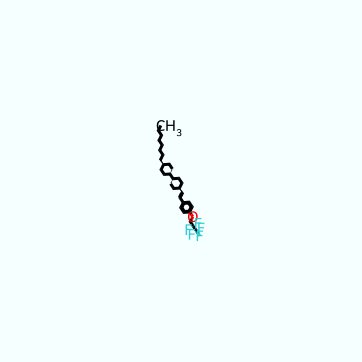 CCCCCCCC[C@H]1CC[C@H]([C@H]2CC[C@H](C=Cc3ccc(OCC(F)(F)C(F)(F)F)cc3)CC2)CC1